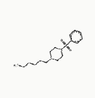 CCCCCCN1CCN(S(=O)(=O)c2ccccc2)CC1